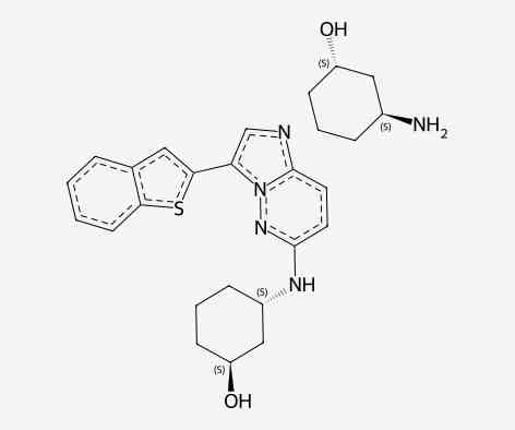 N[C@H]1CCC[C@H](O)C1.O[C@H]1CCC[C@H](Nc2ccc3ncc(-c4cc5ccccc5s4)n3n2)C1